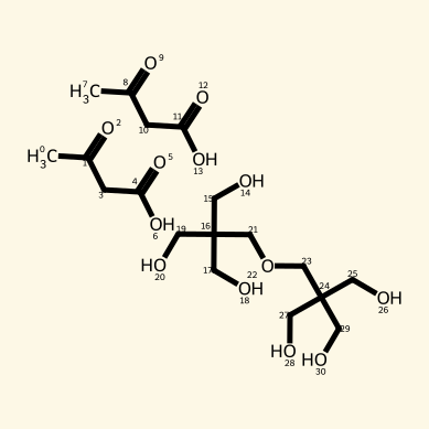 CC(=O)CC(=O)O.CC(=O)CC(=O)O.OCC(CO)(CO)COCC(CO)(CO)CO